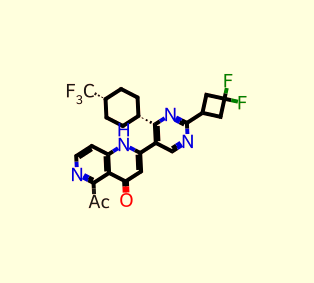 CC(=O)c1nccc2[nH]c(-c3cnc(C4CC(F)(F)C4)nc3[C@H]3CC[C@@H](C(F)(F)F)CC3)cc(=O)c12